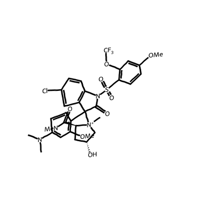 CNC(=O)[C@@H]1C[C@@H](O)C[N+]1(C)C1(c2ccc(N(C)C)cc2OC)C(=O)N(S(=O)(=O)c2ccc(OC)cc2OC(F)(F)F)c2ccc(Cl)cc21